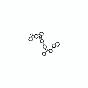 CC1(C)c2ccccc2-c2cc3c(cc21)c1ccccc1n3-c1ccc(-c2ccc(N(c3ccccc3)c3cccc(-c4ccc5ccccc5c4)c3)cc2)cc1